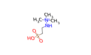 C[N+](C)(C)NCCS(=O)(=O)O